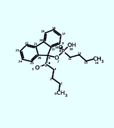 CCCC[S+]([O-])C1(OP(=O)(O)CCCC)c2ccccc2-c2ccccc21